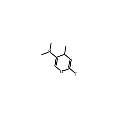 CC1C=C(F)OC=C1N(C)C